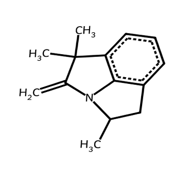 C=C1N2c3c(cccc3C1(C)C)CC2C